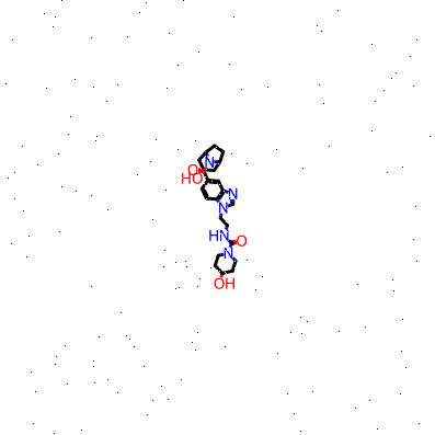 O=C(NCCn1cnc2cc(C(=O)N3C4CCC3CC(O)C4)ccc21)N1CCC(O)CC1